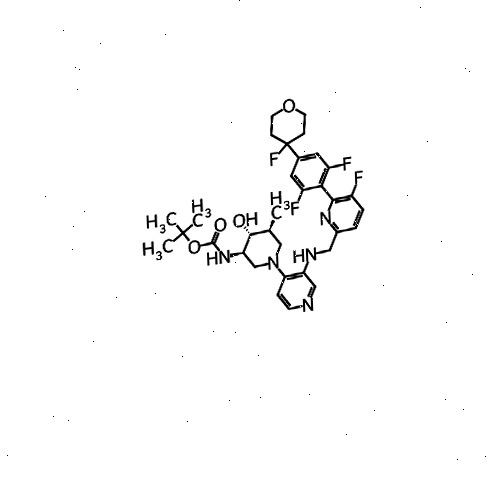 C[C@H]1CN(c2ccncc2NCc2ccc(F)c(-c3c(F)cc(C4(F)CCOCC4)cc3F)n2)C[C@@H](NC(=O)OC(C)(C)C)[C@@H]1O